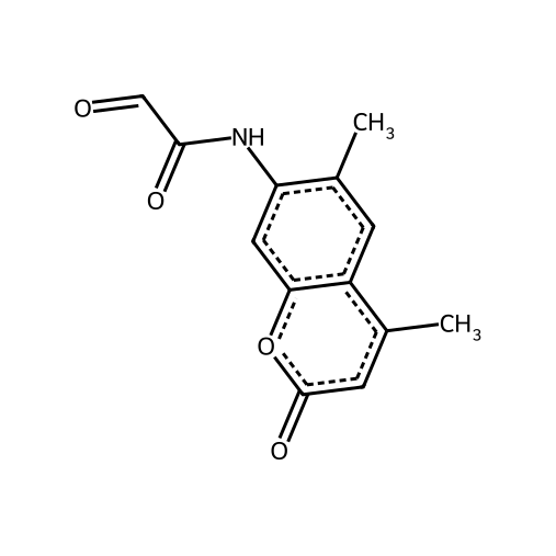 Cc1cc2c(C)cc(=O)oc2cc1NC(=O)C=O